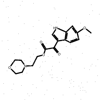 COc1ccc2c(C(=O)C(=O)OCCN3CCOCC3)c[nH]c2c1